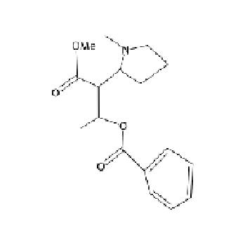 COC(=O)C(C(C)OC(=O)c1ccccc1)C1CCCN1C